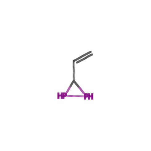 C=CC1PP1